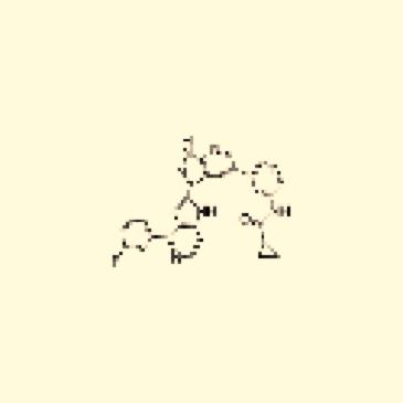 O=C(Nc1cncc(-c2cnc3[nH]nc(-c4cc5c(-c6cccc(F)c6)nccc5[nH]4)c3c2)c1)C1CC1